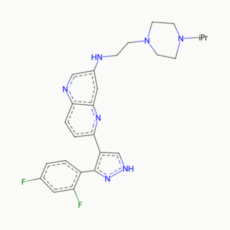 CC(C)N1CCN(CCNc2cnc3ccc(-c4c[nH]nc4-c4ccc(F)cc4F)nc3c2)CC1